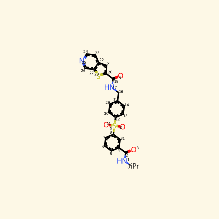 CC(C)NC(=O)c1cccc(S(=O)(=O)c2ccc(CNC(=O)c3cc4ccncc4s3)cc2)c1